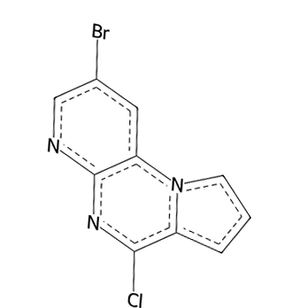 Clc1nc2ncc(Br)cc2n2cccc12